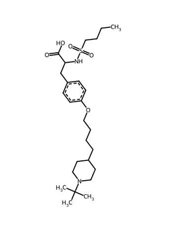 CCCCS(=O)(=O)NC(Cc1ccc(OCCCCC2CCN(C(C)(C)C)CC2)cc1)C(=O)O